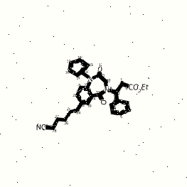 CCOC(=O)CC(c1ccccc1)N1CC(=O)N(c2ccccc2)c2ccc(CCCCCC#N)cc2C1=O